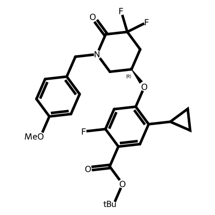 COc1ccc(CN2C[C@H](Oc3cc(F)c(C(=O)OC(C)(C)C)cc3C3CC3)CC(F)(F)C2=O)cc1